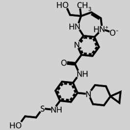 CC1(CO)C=C[NH+]([O-])c2ccc(C(=O)Nc3ccc(NSCCO)cc3N3CCC4(CC3)CC4)nc2N1